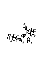 CC(C)(C)OC(=O)N1CC(n2c(CC=O)nc(F)c2C(N)=O)C1